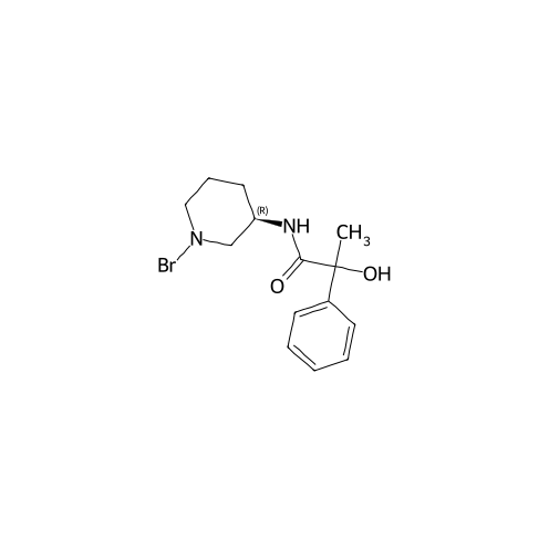 CC(O)(C(=O)N[C@@H]1CCCN(Br)C1)c1ccccc1